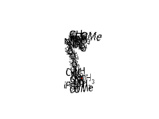 COC(=O)N[C@H](C(=O)N1[C@H](C)[C@H](C)C[C@H]1c1nc(Cl)c(-c2ccc(-c3ccc4cc(-c5cnc([C@@H]6C[C@@H](C)[C@@H](C)N6C(=O)[C@@H](NC(=O)OC)C6CCOCC6)[nH]5)ccc4c3)cc2)[nH]1)C(C)C